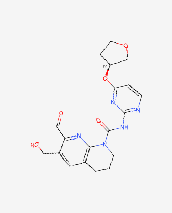 O=Cc1nc2c(cc1CO)CCCN2C(=O)Nc1nccc(O[C@H]2CCOC2)n1